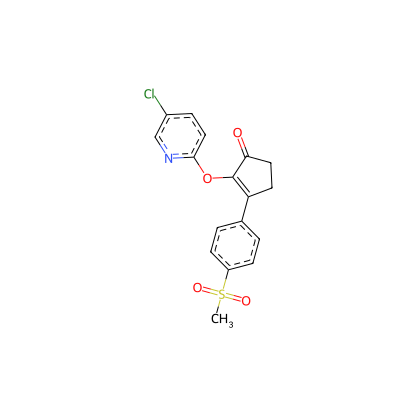 CS(=O)(=O)c1ccc(C2=C(Oc3ccc(Cl)cn3)C(=O)CC2)cc1